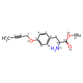 CC#CCOc1ccc(CC(N)C(=O)OC(C)(C)C)cc1